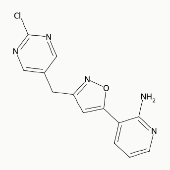 Nc1ncccc1-c1cc(Cc2cnc(Cl)nc2)no1